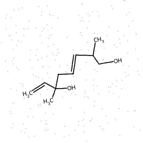 C=CC(C)(O)CC=CC(C)CO